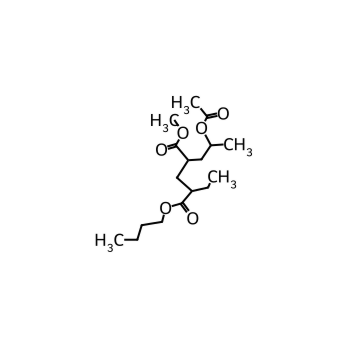 CCCCOC(=O)C(CC)CC(CC(C)OC(C)=O)C(=O)OC